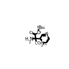 CCOC(=O)C(N)(C(=O)OC(C)(C)C)c1cnccn1